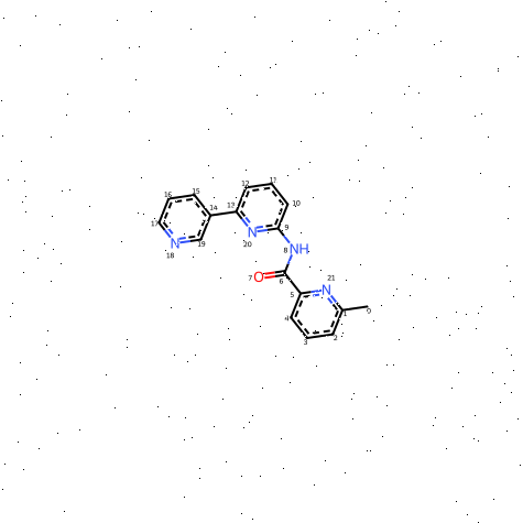 Cc1cccc(C(=O)Nc2cccc(-c3cccnc3)n2)n1